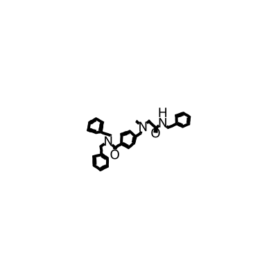 CN(CC(=O)NCc1ccccc1)Cc1ccc(C(=O)N(Cc2ccccc2)Cc2ccccc2)cc1